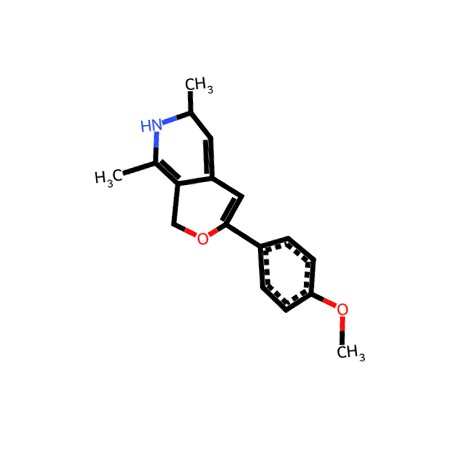 COc1ccc(C2=CC3=CC(C)NC(C)=C3CO2)cc1